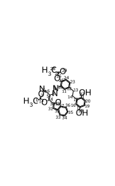 CC(=O)OC(=C(C#N)N=Nc1cc(CCc2cc(O)ccc2O)ccc1OC(C)=O)c1cc2ccccc2o1